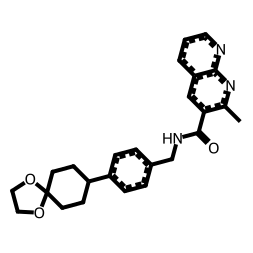 Cc1nc2ncccc2cc1C(=O)NCc1ccc(C2CCC3(CC2)OCCO3)cc1